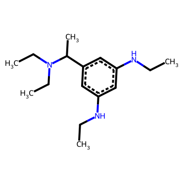 CCNc1cc(NCC)cc(C(C)N(CC)CC)c1